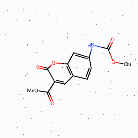 COC(=O)c1cc2ccc(NC(=O)OC(C)(C)C)cc2oc1=O